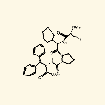 CN[C@@H](C)C(=O)N[C@H](C(=O)N1CCC[C@H]1C(=O)N[C@H](C(=O)OC)C(c1ccccc1)c1ccccc1)C1CCCCC1